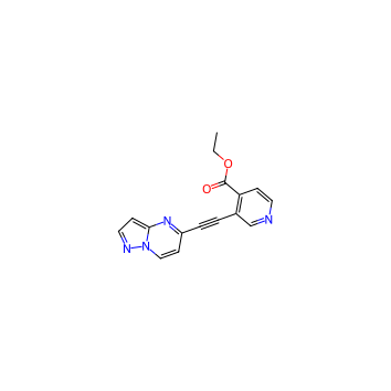 CCOC(=O)c1ccncc1C#Cc1ccn2nccc2n1